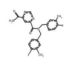 Cc1cc(CN(Cc2ccc(F)c(C)c2)C(=O)c2cc(C(N)=O)ncn2)ccc1F